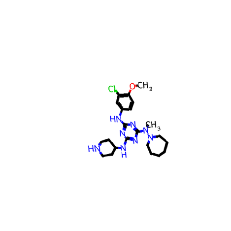 COc1ccc(Nc2nc(NC3CCNCC3)nc(N(C)N3CCCCCC3)n2)cc1Cl